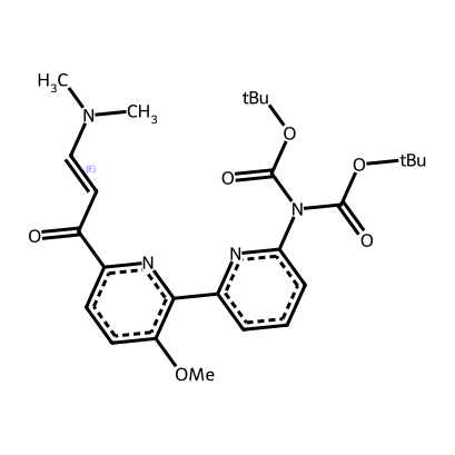 COc1ccc(C(=O)/C=C/N(C)C)nc1-c1cccc(N(C(=O)OC(C)(C)C)C(=O)OC(C)(C)C)n1